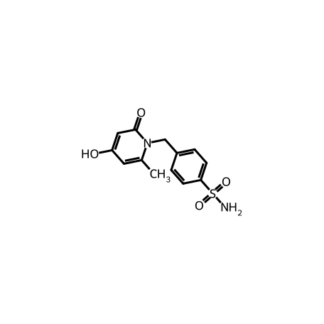 Cc1cc(O)cc(=O)n1Cc1ccc(S(N)(=O)=O)cc1